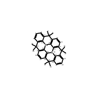 CC1(C)c2cccc3c2B2c4c1ccc1c4B4c5c(cccc5C(C)(C)c5ccc(c2c54)C3(C)C)C1(C)C